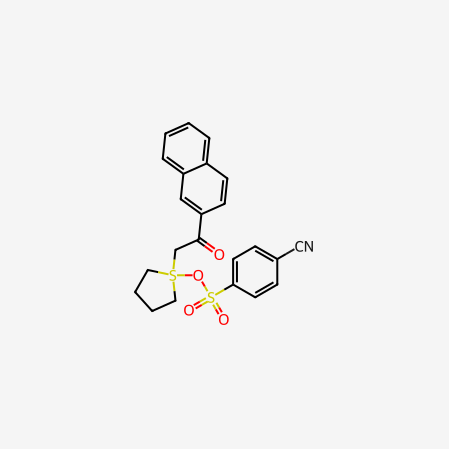 N#Cc1ccc(S(=O)(=O)OS2(CC(=O)c3ccc4ccccc4c3)CCCC2)cc1